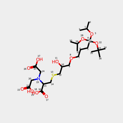 CC(C)O[Si](CCCOCC(O)CSCC(C(=O)O)N(CC(=O)O)CC(=O)O)(OC(C)C)OC(C)(C)C